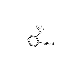 CCCCCc1ccccc1[O][BiH2]